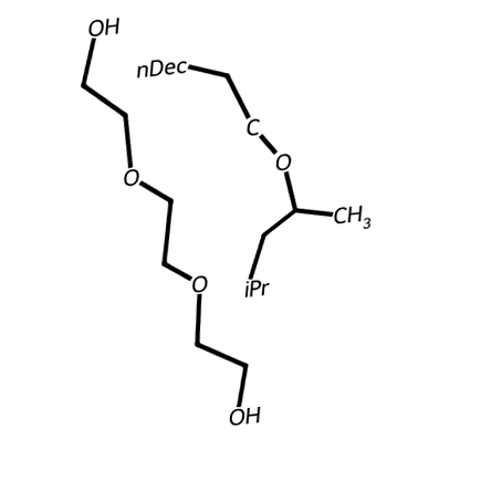 CCCCCCCCCCCCOC(C)CC(C)C.OCCOCCOCCO